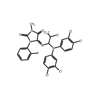 CN1C(=O)/C(=N\C(C(Cl)C(Cl)(Cl)Cl)N(c2ccc(Cl)c(Cl)c2)c2ccc(Cl)c(Cl)c2)N(c2ccccc2F)C1=O